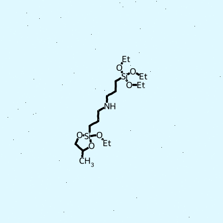 CCO[Si](CCCNCCC[Si]1(OCC)OCC(C)O1)(OCC)OCC